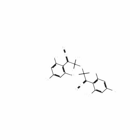 CCc1cc(Br)cc(C)c1C(=[N+]=[N-])C(C)(C)SC(C)(C)C(=[N+]=[N-])c1c(C)cc(Br)cc1CC